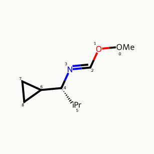 COO/C=N/[C@H](C(C)C)C1CC1